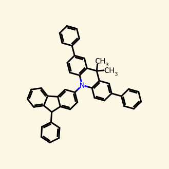 CC1(C)c2cc(-c3ccccc3)ccc2N(c2ccc3c(c2)-c2ccccc2C3c2ccccc2)c2ccc(-c3ccccc3)cc21